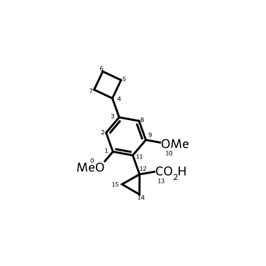 COc1cc(C2CCC2)cc(OC)c1C1(C(=O)O)CC1